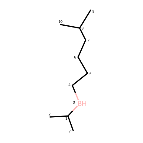 CC(C)BCCCCC(C)C